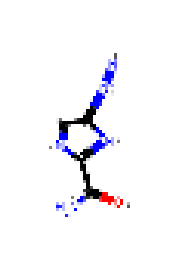 [N-]=[N+]=C1C=NC(C(N)=O)=N1